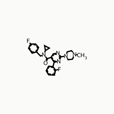 CN1CCN(c2ncc(C(=O)N(Cc3ccc(F)cc3)C3CC3)c(-c3ccccc3F)n2)CC1